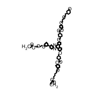 C=CC(=O)OCCCCCCOc1ccc(OC(=O)C2CCC(COc3ccc4c5ccc(OCC6CCC(C(=O)Oc7ccc(OCCCOCCC8CCC9OC9C8)cc7)CC6)cc5c5nc6cc(-c7cccc(OCCOCCOC(=O)C=C)c7)ccc6nc5c4c3)CC2)cc1